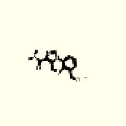 CN(C)C(=O)c1ncn2c1COc1c(CC=O)cccc1-2